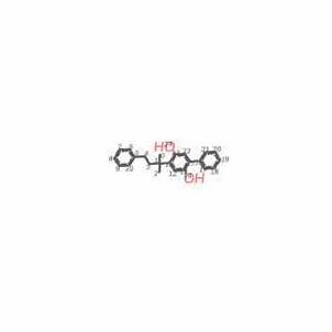 CC(C)(CCc1ccccc1)c1cc(O)c(-c2ccccc2)cc1O